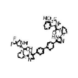 CN(C(=O)O)[C@@H](C(=O)N1CCC[C@H]1c1ncc(-c2ccc(-c3ccc(-c4cnc([C@@H]5CCCN5C(=O)[C@H]5CC(F)(F)CN5)[nH]4)cc3)cc2)[nH]1)c1ccccc1